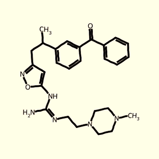 CC(Cc1cc(NC(N)=NCCN2CCN(C)CC2)on1)c1cccc(C(=O)c2ccccc2)c1